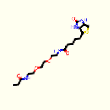 CCC(=O)NCCOCCOCCNC(=O)CCCCC1SCC2NC(=O)NC21